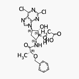 CC(=O)O.C[C@@H](OCc1ccccc1)C(=O)N[C@H]1C[C@@H](n2cnc3c(Cl)nc(Cl)nc32)[C@H](O)[C@@H]1O